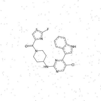 O=C(c1csc(F)n1)N1CCC(Nc2ncc(Cl)c(-c3c[nH]c4ccccc34)n2)CC1